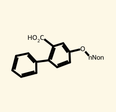 CCCCCCCCCOc1ccc(-c2ccccc2)c(C(=O)O)c1